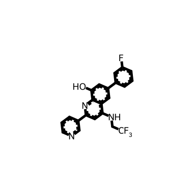 Oc1cc(-c2cccc(F)c2)cc2c(NCC(F)(F)F)cc(-c3cccnc3)nc12